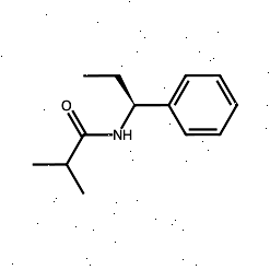 CC[C@H](NC(=O)C(C)C)c1ccccc1